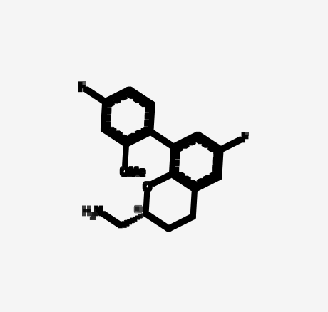 COc1cc(F)ccc1-c1cc(F)cc2c1O[C@@H](CN)CC2